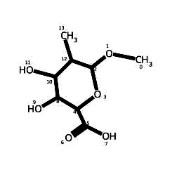 COC1OC(C(=O)O)C(O)C(O)C1C